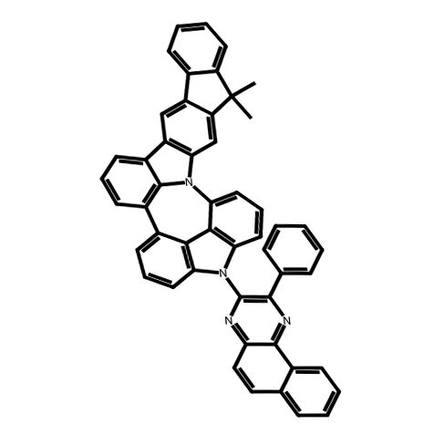 CC1(C)c2ccccc2-c2cc3c4cccc5c6cccc7c6c6c(cccc6n(c3cc21)c54)n7-c1nc2ccc3ccccc3c2nc1-c1ccccc1